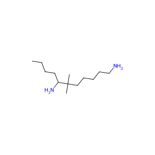 CCCCC(N)C(C)(C)CCCCCN